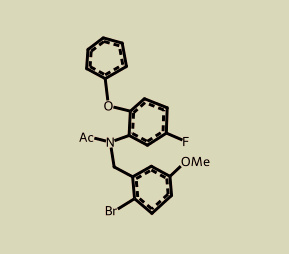 COc1ccc(Br)c(CN(C(C)=O)c2cc(F)ccc2Oc2ccccc2)c1